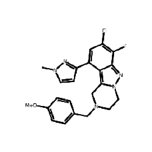 COc1ccc(CN2CCn3nc4c(F)c(Cl)cc(-c5ccn(C)n5)c4c3C2)cc1